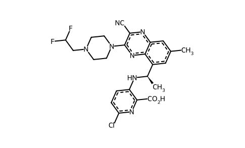 Cc1cc([C@@H](C)Nc2ccc(Cl)nc2C(=O)O)c2nc(N3CCN(CC(F)F)CC3)c(C#N)nc2c1